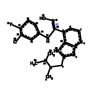 CC(Cc1nc2nccc(/C(=N/O)Nc3ccc(F)c(Cl)c3)c2[nH]1)N(C)C